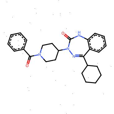 O=C(c1ccccc1)N1CCC(N2N=C(C3CCCCC3)c3ccccc3NC2=O)CC1